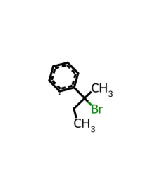 CCC(C)(Br)c1[c]cccc1